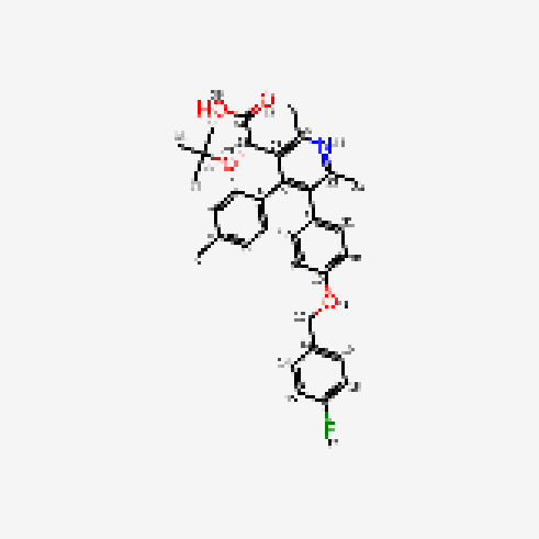 Cc1ccc(-c2c(-c3ccc(OCc4ccc(F)cc4)cc3)c(C)nc(C)c2[C@H](OC(C)(C)C)C(=O)O)cc1